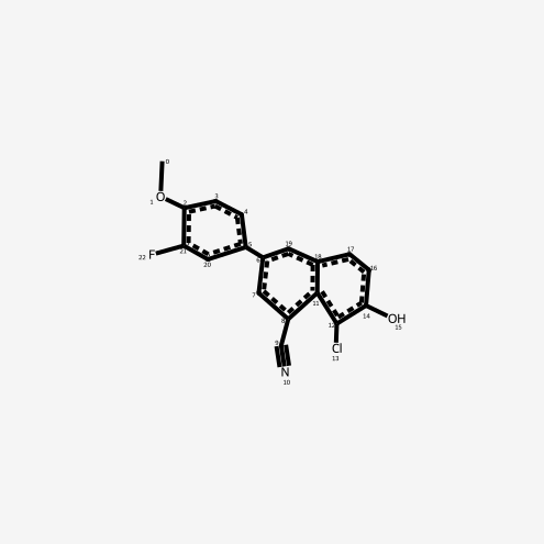 COc1ccc(-c2cc(C#N)c3c(Cl)c(O)ccc3c2)cc1F